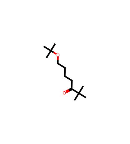 CC(C)(C)OCCCCC(=O)C(C)(C)C